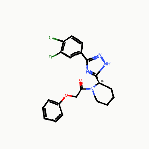 O=C(COc1ccccc1)N1CCCC[C@@H]1c1nc(-c2ccc(Cl)c(Cl)c2)n[nH]1